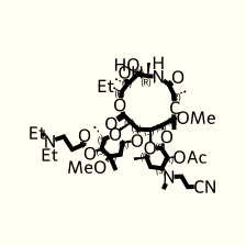 CC[C@H]1OC(=O)[C@H](C)[C@@H](O[C@H]2C[C@@](C)(OC)[C@@H](OC(=O)CCN(CC)CC)[C@H](C)O2)[C@H](C)[C@@H](O[C@@H]2O[C@H](C)C[C@H](N(C)CCC#N)[C@H]2OC(C)=O)[C@](C)(OC)C[C@@H](C)C(=O)N[C@H](C)[C@@H](O)[C@]1(C)O